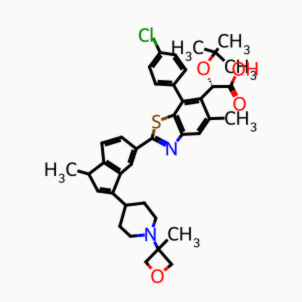 Cc1cc2nc(-c3ccc4c(c3)C(C3CCN(C5(C)COC5)CC3)=CC4C)sc2c(-c2ccc(Cl)cc2)c1[C@H](OC(C)(C)C)C(=O)O